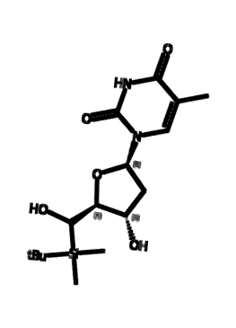 Cc1cn([C@H]2C[C@H](O)[C@@H](C(O)[Si](C)(C)C(C)(C)C)O2)c(=O)[nH]c1=O